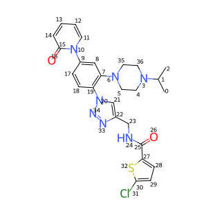 CC(C)N1CCN(c2cc(-n3ccccc3=O)ccc2-n2cc(CNC(=O)c3ccc(Cl)s3)nn2)CC1